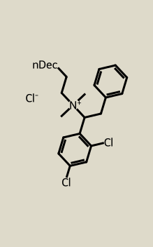 CCCCCCCCCCCC[N+](C)(C)C(Cc1ccccc1)c1ccc(Cl)cc1Cl.[Cl-]